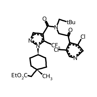 CCOC(=O)C[C@]1(C)CC[C@@H](n2ncc(C(=O)N(CC(=O)c3c(Cl)cncc3Cl)CC(C)(C)C)c2C(F)(F)F)CC1